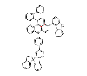 c1ccc(-c2ccccc2-c2ccccc2-c2ccccc2N(c2ccc(-c3ccc4c(c3)C3(CCc5ccccc53)c3ccccc3-4)cc2)c2ccc(-c3cccc4oc5ccccc5c34)cc2)cc1